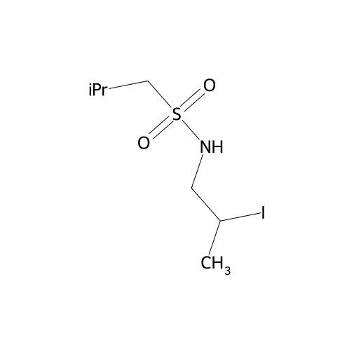 CC(C)CS(=O)(=O)NCC(C)I